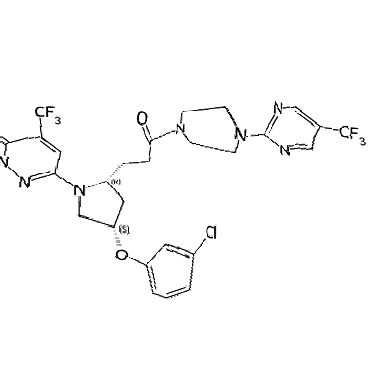 O=C(CC[C@@H]1C[C@H](Oc2cccc(Cl)c2)CN1c1cc(C(F)(F)F)c(=O)[nH]n1)N1CCN(c2ncc(C(F)(F)F)cn2)CC1